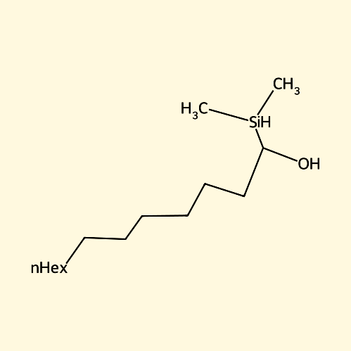 CCCCCCCCCCCCC(O)[SiH](C)C